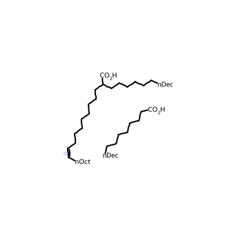 CCCCCCCC/C=C\CCCCCCCCC(CCCCCCCCCCCCCCCC)C(=O)O.CCCCCCCCCCCCCCCCCC(=O)O